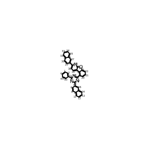 c1ccc(-c2nc(-c3ccc4ccccc4c3)nc(-c3cccc4oc5nc(-c6ccc7ccccc7c6)ccc5c34)n2)cc1